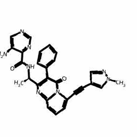 C[C@@H](NC(=O)c1ncncc1N)c1nc2cccc(C#Cc3cnn(C)c3)n2c(=O)c1-c1ccccc1